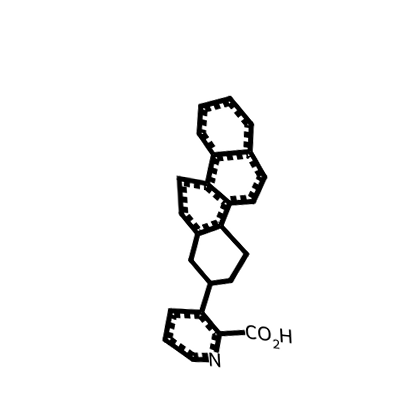 O=C(O)c1ncccc1C1CCc2c(ccc3c2ccc2ccccc23)C1